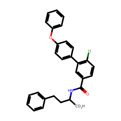 O=C(NC(CCc1ccccc1)C(=O)O)c1ccc(Cl)c(-c2ccc(Oc3ccccc3)cc2)c1